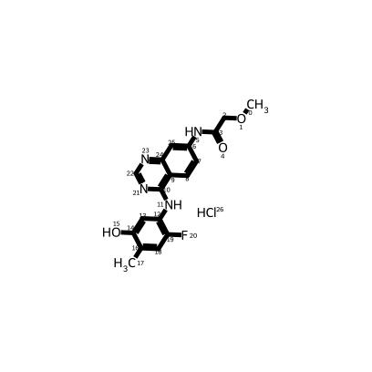 COCC(=O)Nc1ccc2c(Nc3cc(O)c(C)cc3F)ncnc2c1.Cl